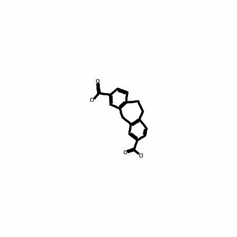 O=C(Cl)c1ccc2c(c1)Cc1cc(C(=O)Cl)ccc1CC2